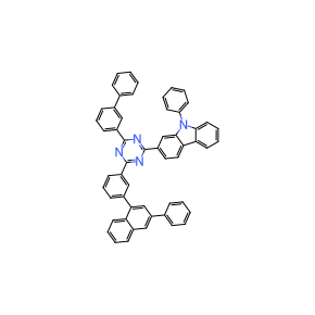 c1ccc(-c2cccc(-c3nc(-c4cccc(-c5cc(-c6ccccc6)cc6ccccc56)c4)nc(-c4ccc5c6ccccc6n(-c6ccccc6)c5c4)n3)c2)cc1